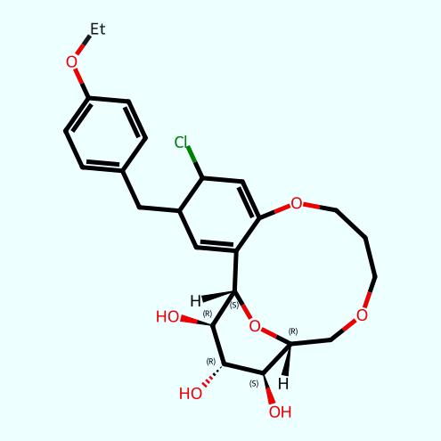 CCOc1ccc(CC2C=C3C(=CC2Cl)OCCCOC[C@H]2O[C@@H]3[C@H](O)[C@@H](O)[C@@H]2O)cc1